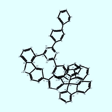 c1ccc(-c2ccc(-c3nc(-c4ccc5sc6ccccc6c5c4)nc(-c4cccc5oc6ccc(-c7ccc8c(c7)-c7ccccc7C87c8ccccc8-c8ccccc87)cc6c45)n3)cc2)cc1